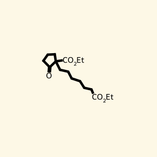 CCOC(=O)CCCCCCC1(C(=O)OCC)CCCC1=O